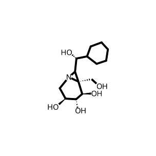 OC[C@@]12C([C@H](O)C3CCCCC3)N1C[C@H](O)[C@@H](O)[C@@H]2O